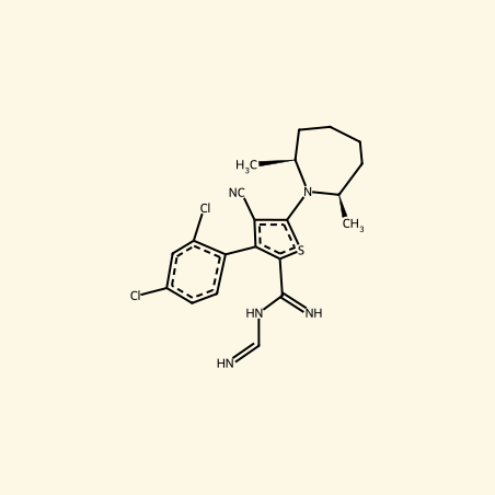 C[C@@H]1CCCC[C@H](C)N1c1sc(C(=N)NC=N)c(-c2ccc(Cl)cc2Cl)c1C#N